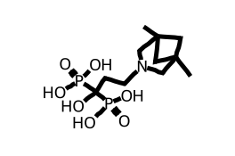 CC12CN(CCC(O)(P(=O)(O)O)P(=O)(O)O)CC(C)(C1)C2